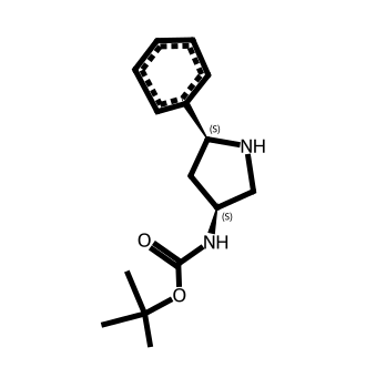 CC(C)(C)OC(=O)N[C@@H]1CN[C@H](c2ccccc2)C1